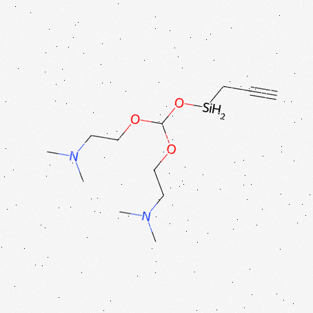 C#CC[SiH2]OC(OCCN(C)C)OCCN(C)C